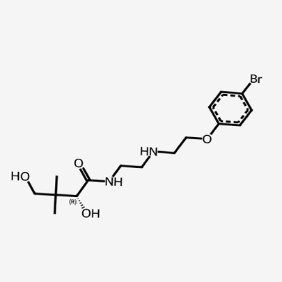 CC(C)(CO)[C@@H](O)C(=O)NCCNCCOc1ccc(Br)cc1